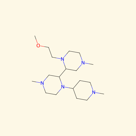 COCCN1CCN(C)CC1C1CN(C)CCN1C1CCN(C)CC1